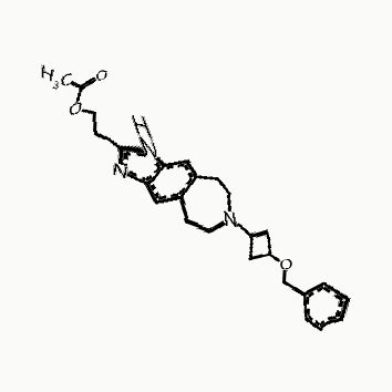 CC(=O)OCCc1nc2cc3c(cc2[nH]1)CCN(C1CC(OCc2ccccc2)C1)CC3